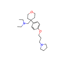 CCN(CC)CC1(c2ccc(OCCCN3CCCC3)cc2)CCOCC1